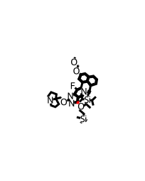 COCOc1cc(-c2ncc3c(OCC[Si](C)(C)C)nc(OCC45CCCN4CCC5)nc3c2F)c2c(C#C[Si](C(C)C)(C(C)C)C(C)C)cccc2c1